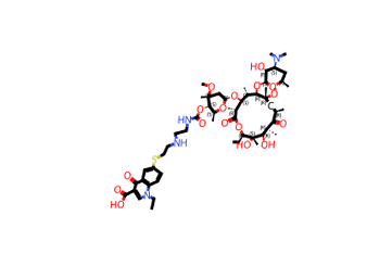 CC[C@H]1OC(=O)[C@H](C)[C@@H](O[C@H]2C[C@@](C)(OC)[C@@H](OC(=O)NCCNCCSc3ccc4c(c3)c(=O)c(C(=O)O)cn4CC)[C@H](C)O2)[C@H](C)[C@@H](O[C@@H]2O[C@H](C)C[C@H](N(C)C)[C@H]2O)[C@](C)(OC)C[C@@H](C)C(=O)[C@H](C)[C@@H](O)[C@]1(C)O